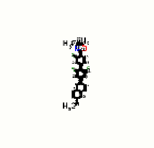 CCC1CCC2CC(c3cc(F)c(-c4ccc(C5=NC(C)(C)CO5)c(F)c4)c(F)c3)CCC2C1